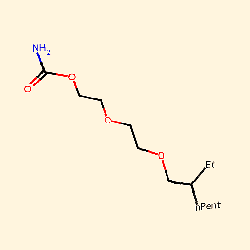 CCCCCC(CC)COCCOCCOC(N)=O